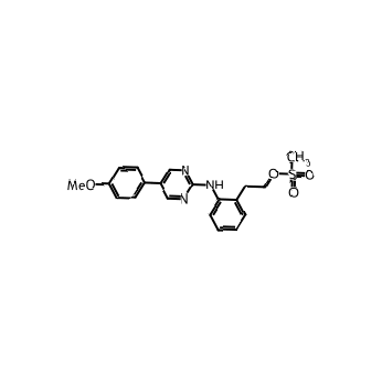 COc1ccc(-c2cnc(Nc3ccccc3CCOS(C)(=O)=O)nc2)cc1